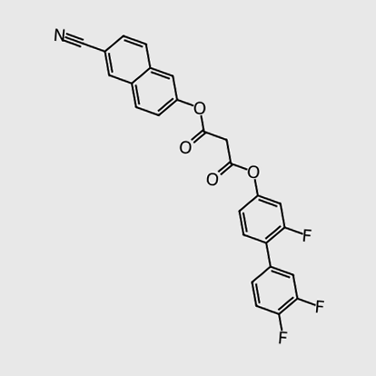 N#Cc1ccc2cc(OC(=O)CC(=O)Oc3ccc(-c4ccc(F)c(F)c4)c(F)c3)ccc2c1